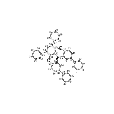 S=P12c3cc(-c4ccccc4)ccc3Oc3c(-c4ccccc4)cc(-c4ccccc4)c(c31)Oc1ccc(-c3ccccc3)cc12